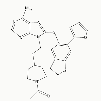 CC(=O)N1CCC(CCn2c(Sc3cc4c(cc3-c3ccco3)SCC4)nc3c(N)ncnc32)CC1